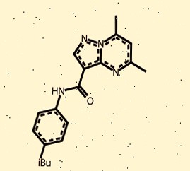 CCC(C)c1ccc(NC(=O)c2cnn3c(C)cc(C)nc23)cc1